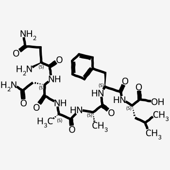 CC(C)C[C@H](NC(=O)[C@H](Cc1ccccc1)NC(=O)[C@H](C)NC(=O)[C@H](C)NC(=O)[C@H](CC(N)=O)NC(=O)[C@@H](N)CC(N)=O)C(=O)O